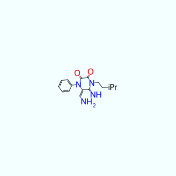 CC(C)CCN1C(=N)/C(=C\N)N(c2ccccc2)C(=O)C1=O